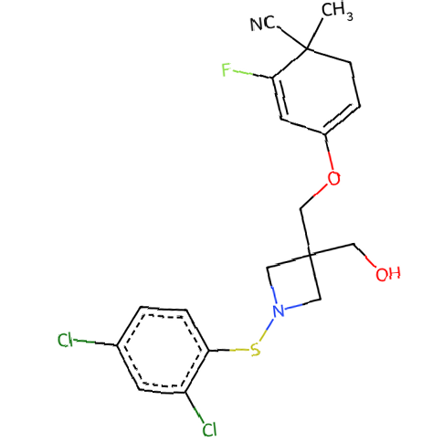 CC1(C#N)CC=C(OCC2(CO)CN(Sc3ccc(Cl)cc3Cl)C2)C=C1F